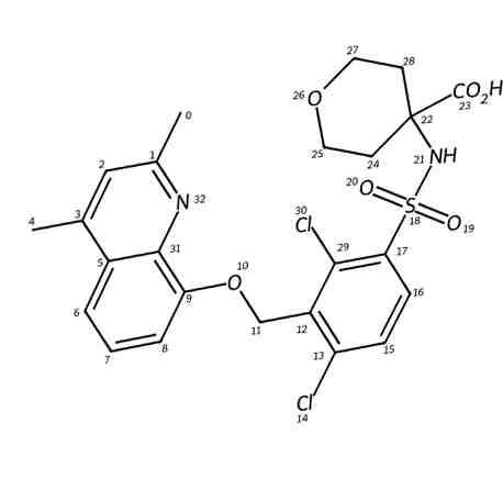 Cc1cc(C)c2cccc(OCc3c(Cl)ccc(S(=O)(=O)NC4(C(=O)O)CCOCC4)c3Cl)c2n1